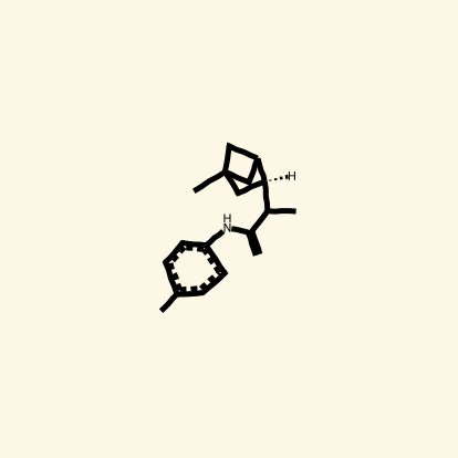 C=C(Nc1ccc(C)cc1)C(C)[C@H]1CC2(C)CC1C2